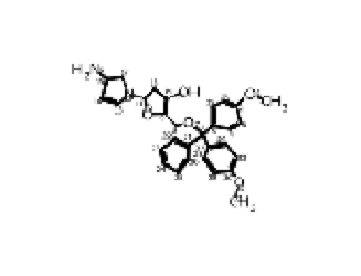 COc1ccc(C(OC[C@H]2O[C@@H](N3C=CC(N)C3)C[C@H]2O)(c2ccccc2)c2ccc(OC)cc2)cc1